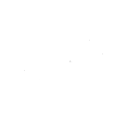 O=Cc1cc2cc(F)c(CNc3ccc(O)c(Br)c3)cc2o1